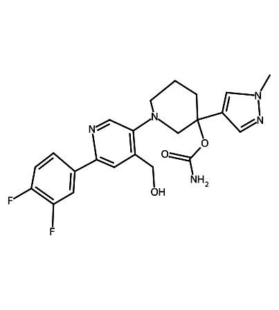 Cn1cc(C2(OC(N)=O)CCCN(c3cnc(-c4ccc(F)c(F)c4)cc3CO)C2)cn1